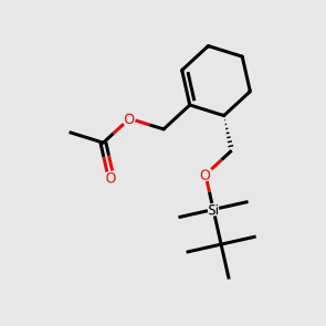 CC(=O)OCC1=CCCC[C@@H]1CO[Si](C)(C)C(C)(C)C